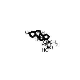 CC(NC(=O)O)[C@H]1CC[C@H]2[C@@H]3CCC4=CC(=O)C=C[C@]4(C)[C@H]3CC[C@]12C